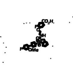 COc1cc(F)ccc1-c1ccc(S(=O)(=O)N2c3ccccc3C[C@H]2C(=O)NCCOc2ccc(C(=O)O)cc2F)cc1